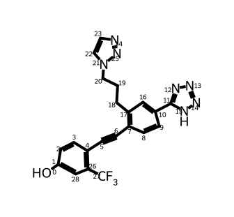 Oc1ccc(C#Cc2ccc(-c3nnn[nH]3)cc2CCCn2ccnn2)c(C(F)(F)F)c1